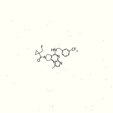 Cc1cnc2nc(N[C@H](C)c3cccc(C(F)(F)F)c3)c3c(n12)CN(C(=O)C1(CF)CC1)C3